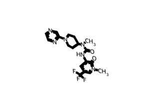 CN(C(=O)Nc1cc(C(F)(F)F)cn(C)c1=O)C1CCN(c2cnccn2)CC1